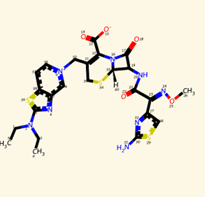 CCN(CC)c1nc2c[n+](CC3=C(C(=O)[O-])N4C(=O)C(NC(=O)C(=NOC)c5csc(N)n5)[C@@H]4SC3)ccc2s1